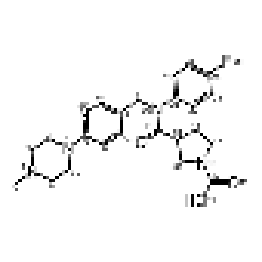 CN1CCN(c2ccc(CN(C(=O)[C@H]3CCN(C(=O)O)C3)c3ccc(F)cc3)cn2)CC1